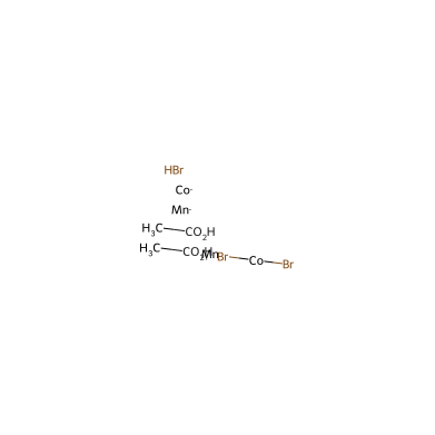 Br.CC(=O)O.CC(=O)O.[Br][Co][Br].[Co].[Mn].[Mn]